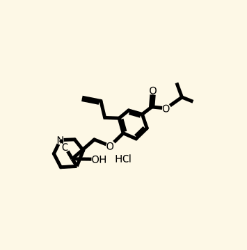 C=CCc1cc(C(=O)OC(C)C)ccc1OCC1(O)CN2CCC1CC2.Cl